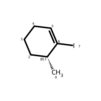 C[C@@H]1CCCC=C1I